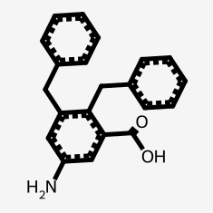 Nc1cc(Cc2ccccc2)c(Cc2ccccc2)c(C(=O)O)c1